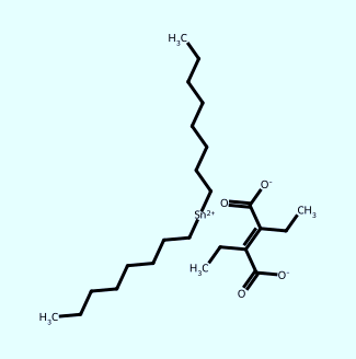 CCC(C(=O)[O-])=C(CC)C(=O)[O-].CCCCCCC[CH2][Sn+2][CH2]CCCCCCC